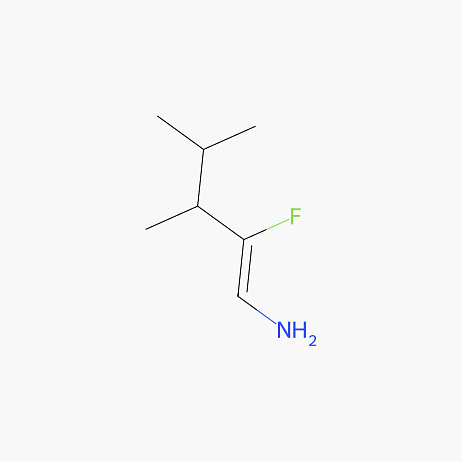 CC(C)C(C)C(F)=CN